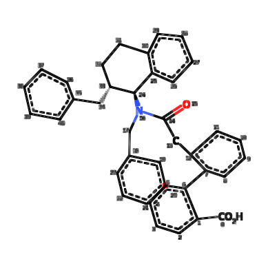 O=C(O)c1ccccc1-c1ccccc1CC(=O)N(Cc1ccccc1)[C@@H]1c2ccccc2CC[C@H]1Cc1ccccc1